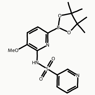 COc1ccc(B2OC(C)(C)C(C)(C)O2)nc1NS(=O)(=O)c1cccnc1